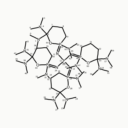 CN(C)C1(N(C)C)CCCP(=N[PH](N=P2(N(C)C)CCCC(N(C)C)(N(C)C)O2)(N=P2(N(C)C)CCCC(N(C)C)(N(C)C)O2)N=P2(N(C)C)CCCC(N(C)C)(N(C)C)O2)(N(C)C)O1